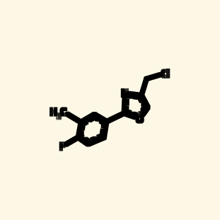 Cc1cc(-c2nc(CCl)co2)ccc1F